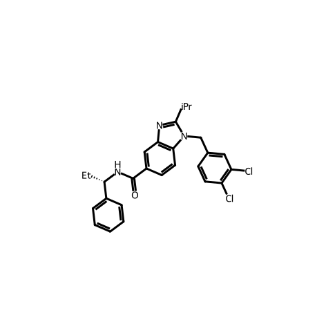 CC[C@H](NC(=O)c1ccc2c(c1)nc(C(C)C)n2Cc1ccc(Cl)c(Cl)c1)c1ccccc1